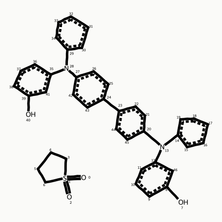 O=S1(=O)CCCC1.Oc1cccc(N(c2ccccc2)c2ccc(-c3ccc(N(c4ccccc4)c4cccc(O)c4)cc3)cc2)c1